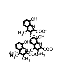 Cc1c(C(=O)[O-])nc2c(O)cccc2c1C.Cc1c(C(=O)[O-])nc2c(O)cccc2c1C.Cc1c(C(=O)[O-])nc2c(O)cccc2c1C.[Au+3]